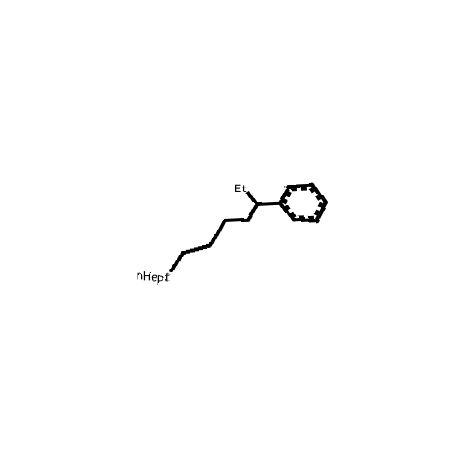 CCCCCCCCCCCC(CC)c1[c]cccc1